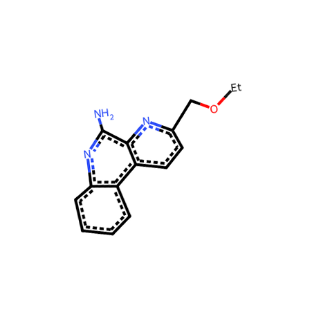 CCOCc1ccc2c(n1)c(N)nc1ccccc12